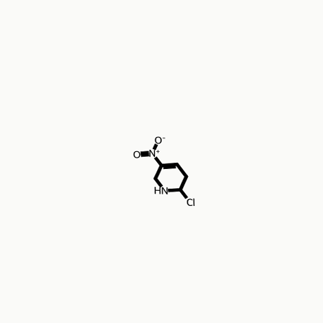 O=[N+]([O-])C1=CCC(Cl)NC1